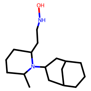 CC1CCCC(CCNO)N1C1CC2CCCC(C2)C1